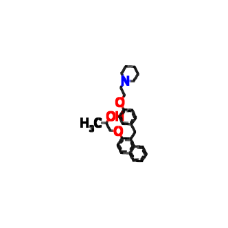 CC(O)COc1ccc2ccccc2c1Cc1ccc(OCCN2CCCCC2)cc1